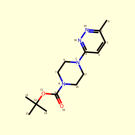 Cc1ccc(N2CCN(C(=O)OC(C)(C)C)CC2)nn1